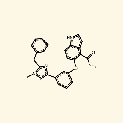 Cn1nc(-c2cccc(Oc3ccc4[nH]ccc4c3C(N)=O)c2)nc1Cc1ccccc1